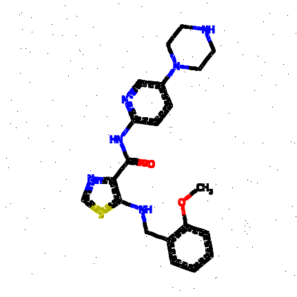 COc1ccccc1CNc1scnc1C(=O)Nc1ccc(N2CCNCC2)cn1